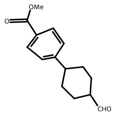 COC(=O)c1ccc(C2CCC(C=O)CC2)cc1